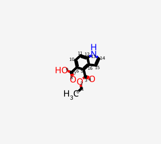 CCOC(=O)c1c(C(=O)O)ccc2[nH]ccc12